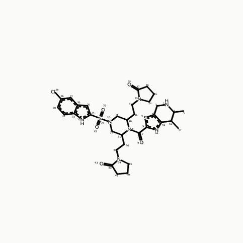 CC1NCc2sc(C(=O)N3C(CCN4CCCC4=O)CN(S(=O)(=O)c4cc5cc(Cl)ccc5[nH]4)CC3CCN3CCCC3=O)nc2C1C